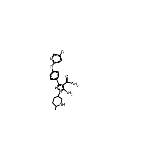 CC1CCC(n2nc(-c3ccc(Oc4ccc(Cl)cn4)cc3)c(C(N)=O)c2N)CN1